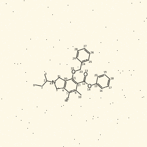 CCC(C)N1Cc2c(F)c(C)c(C(=O)Oc3ccccc3)c(OCc3ccccc3)c2C1